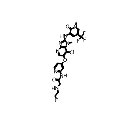 Cn1cc(C(F)(F)F)cc(Nc2nc3ncc(Oc4ccnc(NC(=O)CNCCF)c4)c(Cl)c3n2C)c1=O